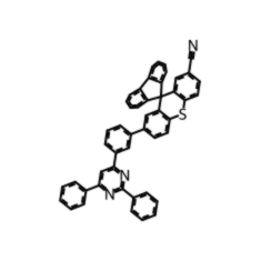 N#Cc1ccc2c(c1)C1(c3cc(-c4cccc(-c5cc(-c6ccccc6)nc(-c6ccccc6)n5)c4)ccc3S2)c2ccccc2-c2ccccc21